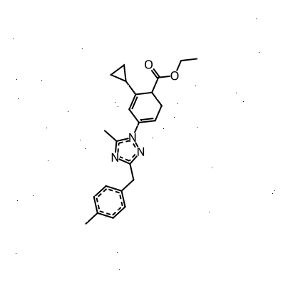 CCOC(=O)C1CC=C(n2nc(Cc3ccc(C)cc3)nc2C)C=C1C1CC1